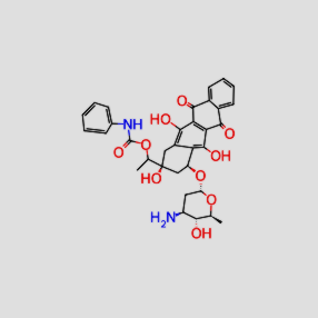 CC(OC(=O)Nc1ccccc1)[C@]1(O)Cc2c(O)c3c(c(O)c2[C@@H](O[C@H]2C[C@H](N)[C@@H](O)[C@H](C)O2)C1)C(=O)c1ccccc1C3=O